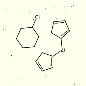 C1=CC[C]([Zr][C]2=CC=CC2)=C1.ClC1CCCCC1